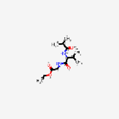 CCOC(=O)CNC(=O)[C@@H](NC(=O)C(C)C)C(C)C